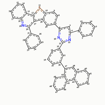 c1ccc(-c2cc(-c3ccc4sc5c6ccccc6nc(-c6ccccc6)c5c4c3)nc(-c3cccc(-c4cc5ccccc5c5ccccc45)c3)n2)cc1